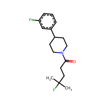 CC(C)(F)CCC(=O)N1CCC(c2cccc(F)c2)CC1